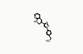 OCc1ccc(-n2cc(C3=Cc4cccnc4NC3)nn2)cc1